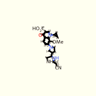 COc1c(N2CCC(C(CNC(C)=O)NCCC#N)C2)ccc2c(=O)c(C(=O)O)cn(C3CC3)c12